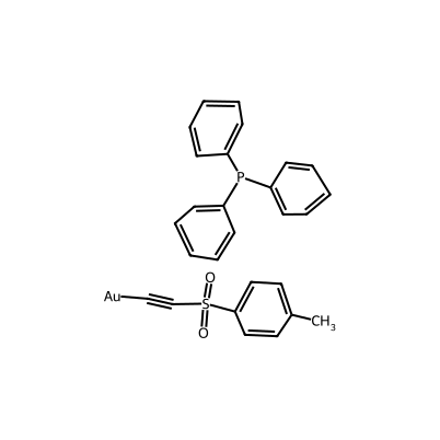 Cc1ccc(S(=O)(=O)C#[C][Au])cc1.c1ccc(P(c2ccccc2)c2ccccc2)cc1